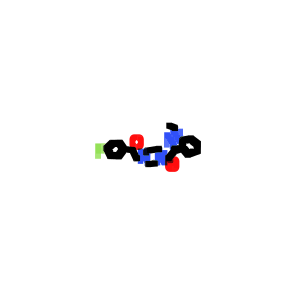 CCn1nc(C(=O)N2CCN(CC(=O)c3ccc(F)cc3)CC2)c2ccccc21